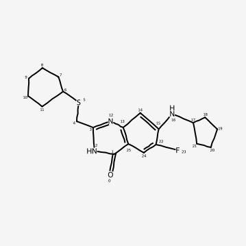 O=c1[nH]c(CSC2CCCCC2)nc2cc(NC3CCCC3)c(F)cc12